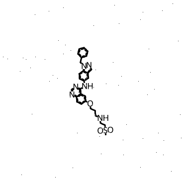 CS(=O)(=O)CCNCCCOc1ccc2ncnc(Nc3ccc4c(cnn4Cc4ccccc4)c3)c2c1